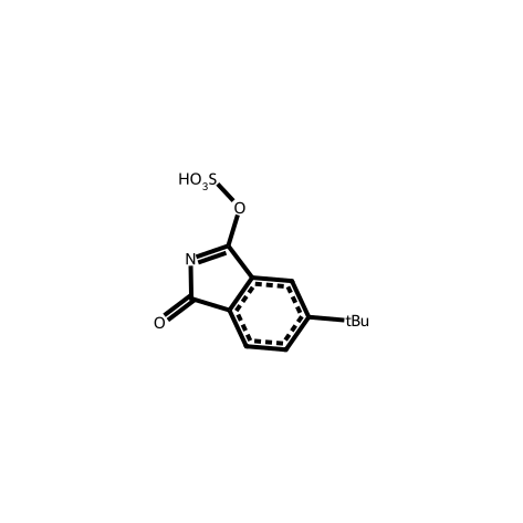 CC(C)(C)c1ccc2c(c1)C(OS(=O)(=O)O)=NC2=O